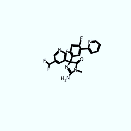 CN1C(=O)C(c2cncc(C(F)F)c2)(c2cc(-c3ccccn3)c(F)cc2F)N=C1N